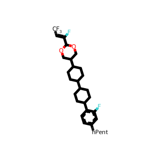 CCCCCc1ccc(C2CCC(C3CCC(C4COC(/C(F)=C/C(F)(F)F)OC4)CC3)CC2)c(F)c1